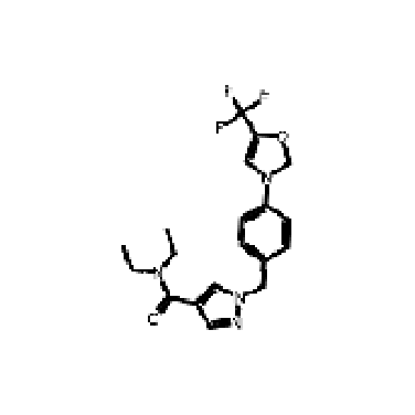 CCN(CC)C(=O)c1cnn(Cc2ccc(N3C=C(C(F)(F)F)OC3)cc2)c1